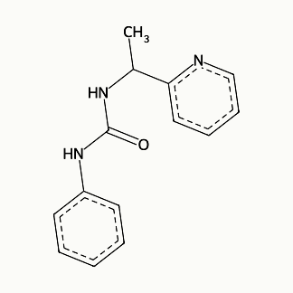 CC(NC(=O)Nc1ccccc1)c1ccccn1